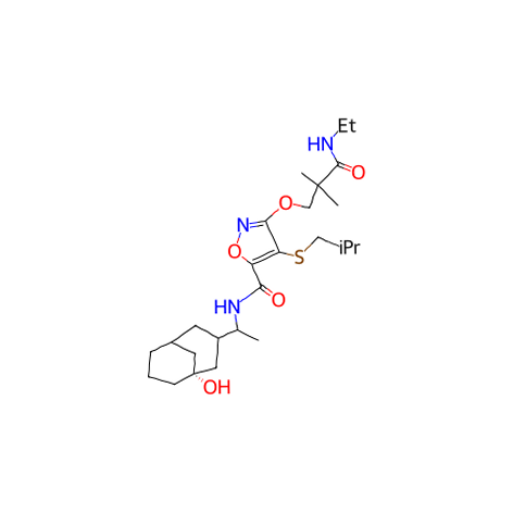 CCNC(=O)C(C)(C)COc1noc(C(=O)NC(C)C2CC3CCC[C@@](O)(C3)C2)c1SCC(C)C